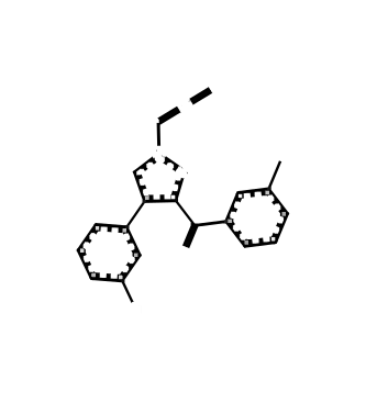 C=C=Cn1cc(-c2cccc(Cl)c2)c(C(=O)c2cccc(C)c2)n1